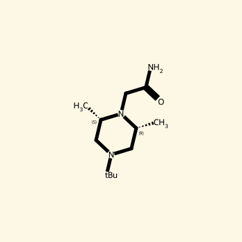 C[C@@H]1CN(C(C)(C)C)C[C@H](C)N1CC(N)=O